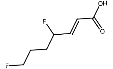 O=C(O)C=CC(F)CCCF